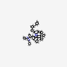 c1ccc(-c2cccc(-c3cccc(-c4cccc(-n5c6cc(-c7cccc(-c8nc(-c9ccccc9)cc(-c9ccccc9)n8)c7)ccc6c6c(-c7ccccc7)c(-c7ccccc7)c(-c7ccccc7)c(-c7ccccc7)c65)c4)c3)c2)cc1